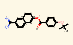 CCC(C)(C)Bc1ccc(C(=O)Oc2ccc3cc(C(=N)N)ccc3c2)cc1